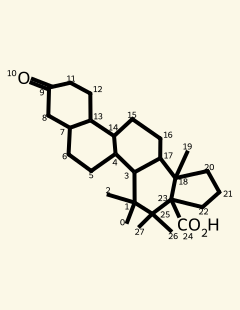 CC1(C)C2C3CCC4CC(=O)CCC4C3CCC2C2(C)CCCC2(C(=O)O)C1(C)C